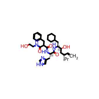 C=C[C@@H](C[C@H](O)[C@H](CC1CCCCC1)NC(=O)[C@H](Cc1c[nH]cn1)NC(=O)C(Cc1ccccc1)C(=O)NCCO)C(C)C